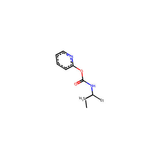 CCC(NC(=O)Oc1ccccn1)[SiH2]C